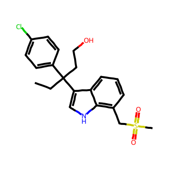 CCC(CCO)(c1ccc(Cl)cc1)c1c[nH]c2c(CS(C)(=O)=O)cccc12